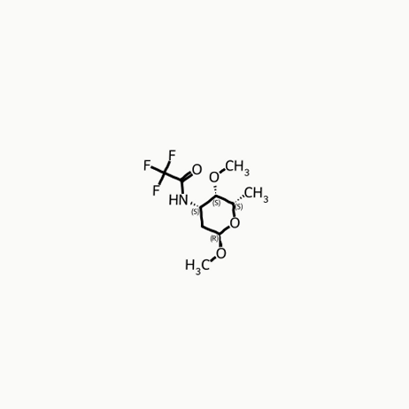 CO[C@H]1C[C@H](NC(=O)C(F)(F)F)[C@H](OC)[C@H](C)O1